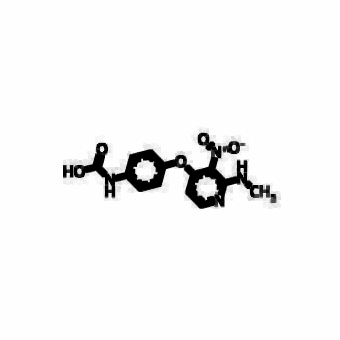 CNc1nccc(Oc2ccc(NC(=O)O)cc2)c1[N+](=O)[O-]